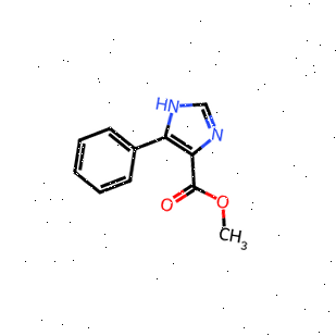 COC(=O)c1nc[nH]c1-c1ccccc1